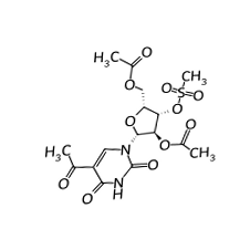 CC(=O)OC[C@H]1O[C@@H](n2cc(C(C)=O)c(=O)[nH]c2=O)[C@H](OC(C)=O)[C@H]1OS(C)(=O)=O